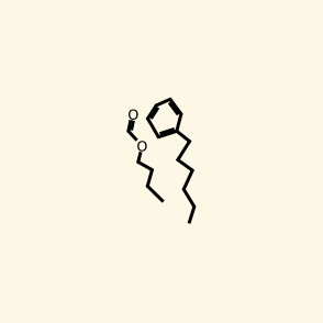 CCCCCCc1ccccc1.CCCCOC=O